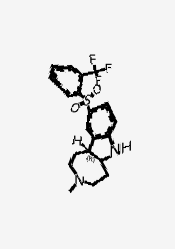 CN1CCC2Nc3ccc(S(=O)(=O)c4ccccc4C(F)(F)F)cc3[C@H]2CC1